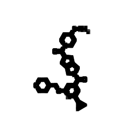 NSC1CCN(C(=O)C2CC3=C(C2)CN(C(=O)c2cc(OCC4CCOCC4)nc(C4CC4)c2)C3)CC1